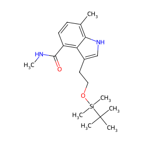 CNC(=O)c1ccc(C)c2[nH]cc(CCO[Si](C)(C)C(C)(C)C)c12